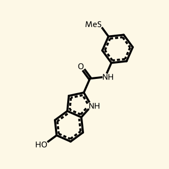 CSc1cccc(NC(=O)c2cc3cc(O)ccc3[nH]2)c1